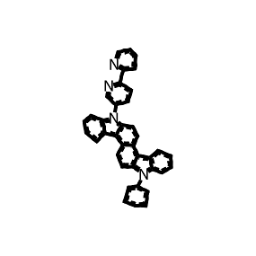 c1ccc(-n2c3ccccc3c3c4ccc5c(c4ccc32)c2ccccc2n5-c2ccc(-c3ccccn3)nc2)cc1